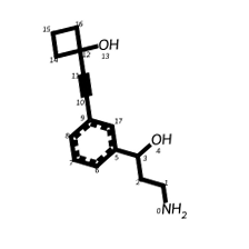 NCCC(O)c1cccc(C#CC2(O)CCC2)c1